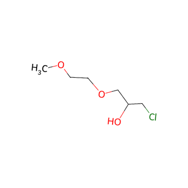 COCCOCC(O)CCl